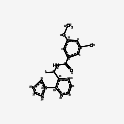 CC(NC(=O)c1cc(Cl)cc(OC(F)(F)F)c1)c1nccnc1-n1cncn1